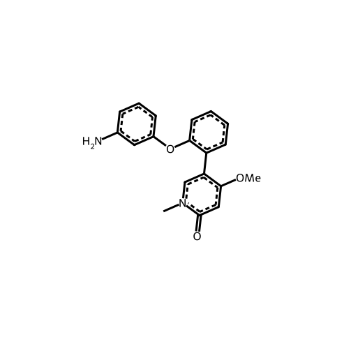 COc1cc(=O)n(C)cc1-c1ccccc1Oc1cccc(N)c1